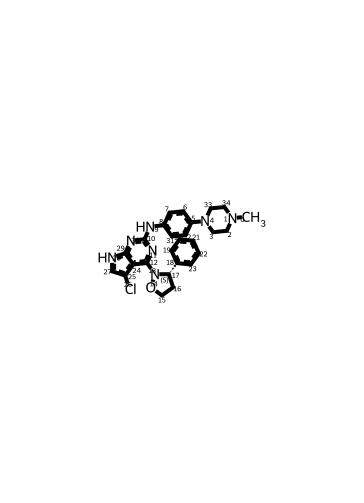 CN1CCN(c2ccc(Nc3nc(N4OCC[C@H]4c4ccccc4)c4c(Cl)c[nH]c4n3)cc2)CC1